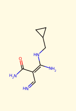 N=C/C(C(N)=O)=C(\N)NCC1CC1